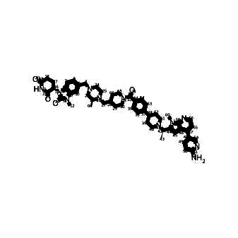 C[C@H]1CN(Cc2ccc3c(c2)n(C)c(=O)n3[C@@H]2CCC(=O)NC2=O)CCN1CC1CCN(C(=O)c2ccc(C3CCN([C@@H](C)c4cc5c(-c6ccc(N)nc6)ccnc5n4C)CC3)cc2)CC1